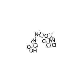 Cc1cc(OCc2c(C(C)C)cnn2-c2c(Cl)cccc2Cl)ccc1N(C)CCn1ccc2c(C(=O)O)cccc21